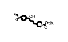 CC(C)(C)OC(=O)N1CCC(CCCC(O)c2ccc([S+]([O-])CF)cc2)CC1